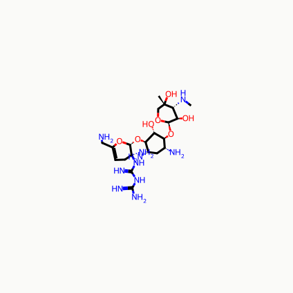 CN[C@@H]1[C@@H](O)[C@@H](O[C@@H]2[C@@H](O)[C@H](O[C@H]3OC(CN)=CC[C@]3(N)NC(=N)NC(=N)N)[C@@H](N)C[C@H]2N)OC[C@]1(C)O